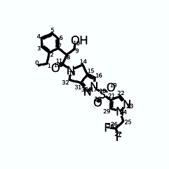 CCc1ccccc1C(CO)C(=O)N1Cc2cn(S(=O)(=O)c3cnn(CC(F)F)c3)nc2C1